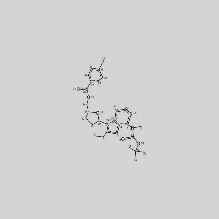 CCc1cc2c(N(C)C(=O)OC(C)(C)C)ncnc2n1C1CCC(COS(=O)c2ccc(C)cc2)O1